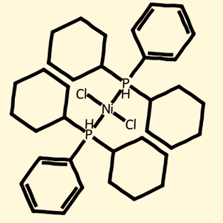 [Cl][Ni]([Cl])([PH](c1ccccc1)(C1CCCCC1)C1CCCCC1)[PH](c1ccccc1)(C1CCCCC1)C1CCCCC1